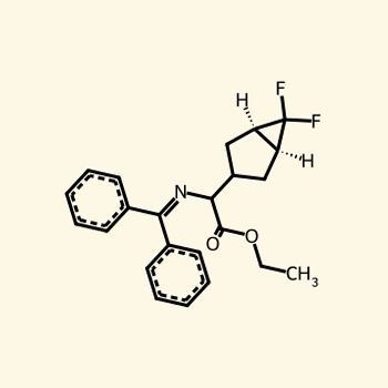 CCOC(=O)C(N=C(c1ccccc1)c1ccccc1)C1C[C@@H]2[C@H](C1)C2(F)F